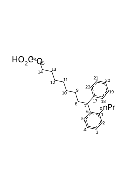 CCCc1ccccc1C(CCCCCCCOC(=O)O)c1ccccc1